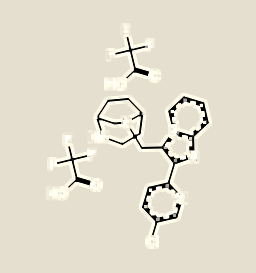 Clc1ccc(-c2nc3ccccn3c2CN2CC3CCC2CCN3)nc1.O=C(O)C(F)(F)F.O=C(O)C(F)(F)F